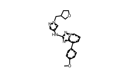 COc1ccc(-c2cccn3nc(Nc4cnn(CC5CCOC5)c4)nc23)cc1